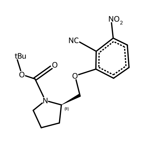 CC(C)(C)OC(=O)N1CCC[C@@H]1COc1cccc([N+](=O)[O-])c1C#N